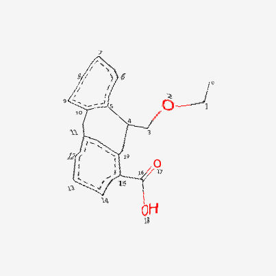 CCOCC1c2ccccc2-c2cccc(C(=O)O)c21